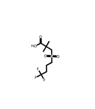 CC(C)(CS(=O)(=O)CCCC(F)(F)F)C(=O)O